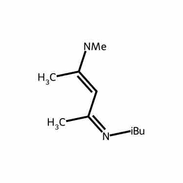 CCC(C)N=C(C)C=C(C)NC